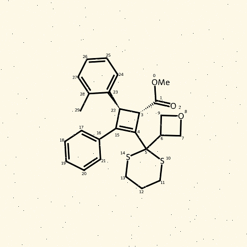 COC(=O)[C@@H]1C(C2(C3COC3)SCCCS2)=C(c2ccccc2)[C@H]1c1ccccc1C